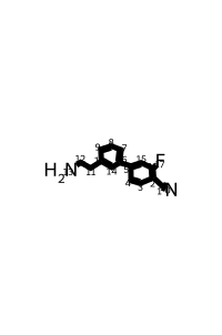 N#Cc1ccc(-c2cccc(CCN)c2)cc1F